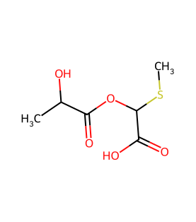 CSC(OC(=O)C(C)O)C(=O)O